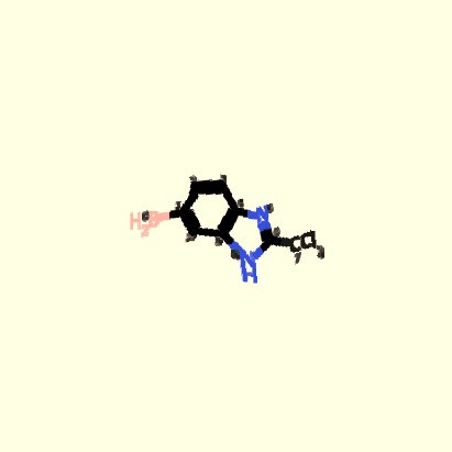 Bc1ccc2nc(C(Cl)(Cl)Cl)[nH]c2c1